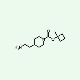 CC1(OC(=O)N2CCC(CCN)CC2)CCC1